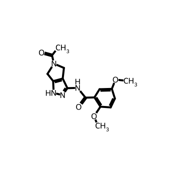 COc1ccc(OC)c(C(=O)Nc2n[nH]c3c2CN(C(C)=O)C3)c1